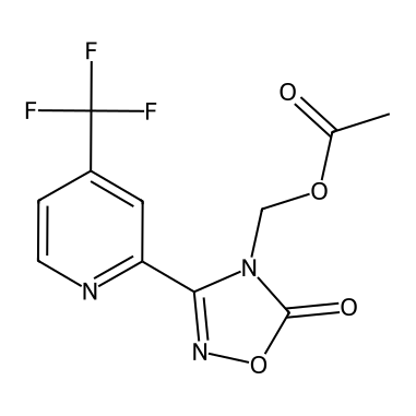 CC(=O)OCn1c(-c2cc(C(F)(F)F)ccn2)noc1=O